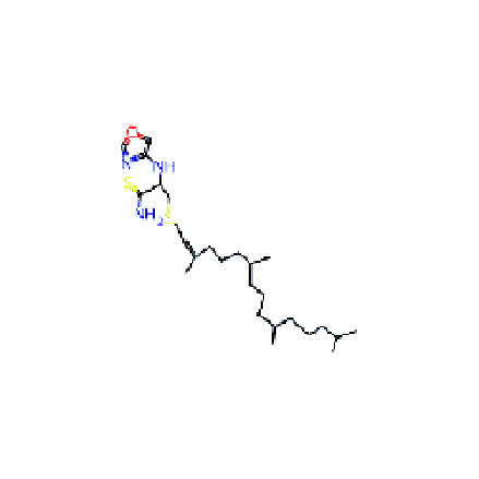 CC(=CCSCC(Nc1cocn1)C(N)=S)CCCC(C)CCCC(C)CCCC(C)C